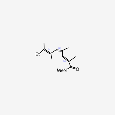 CC/C(C)=C(C)/C=C(C)\C=C(/C)C(=O)NC